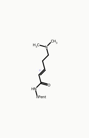 CCCCCNC(=O)/C=C/CCN(C)C